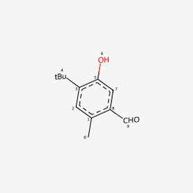 Cc1cc(C(C)(C)C)c(O)cc1C=O